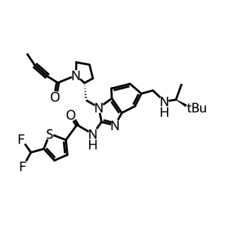 CC#CC(=O)N1CCC[C@@H]1Cn1c(NC(=O)c2ccc(C(F)F)s2)nc2cc(CN[C@@H](C)C(C)(C)C)ccc21